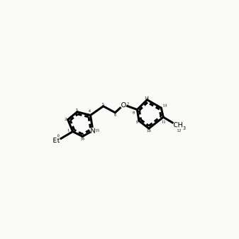 CCc1ccc(CCOc2ccc(C)cc2)nc1